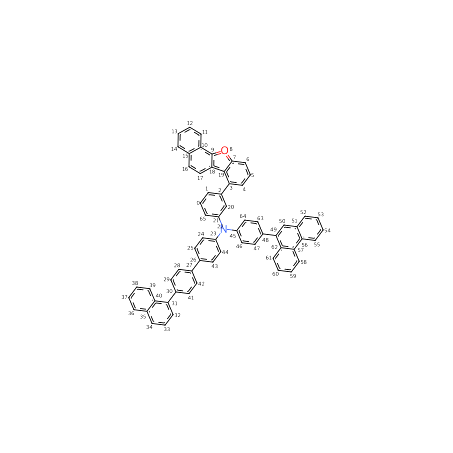 c1cc(-c2cccc3oc4c5ccccc5ccc4c23)cc(N(c2ccc(-c3ccc(-c4cccc5ccccc45)cc3)cc2)c2ccc(-c3cc4ccccc4c4ccccc34)cc2)c1